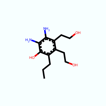 CCCc1c(O)c(N)c(N)c(CCO)c1CCO